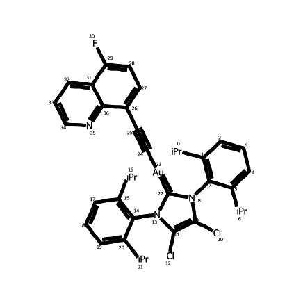 CC(C)c1cccc(C(C)C)c1-n1c(Cl)c(Cl)n(-c2c(C(C)C)cccc2C(C)C)[c]1=[Au][C]#Cc1ccc(F)c2cccnc12